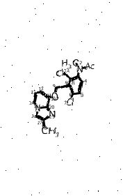 CC(=O)N(C)c1ccc(Cl)c(COc2cccn3cc(C)nc23)c1Cl